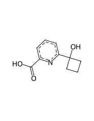 O=C(O)c1cccc(C2(O)CCC2)n1